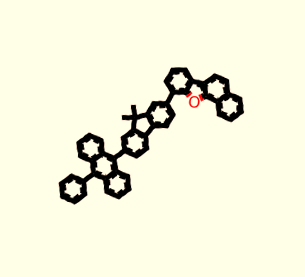 CC1(C)c2cc(-c3c4ccccc4c(-c4ccccc4)c4ccccc34)ccc2-c2ccc(-c3cccc4c3oc3c5ccccc5ccc43)cc21